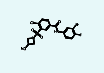 O=C(Nc1ccc(F)c(Br)c1)c1ccc(Cl)c(S(=O)(=O)N2CC(O)C2)c1